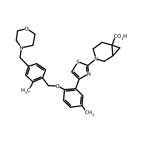 Cc1ccc(OCc2ccc(CN3CCOCC3)cc2C)c(-c2csc(N3CCC4(C(=O)O)CC4C3)n2)c1